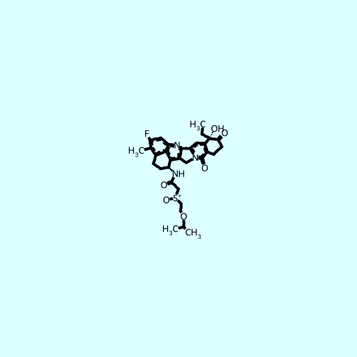 CC[C@@]1(O)C(=O)CCc2c1cc1n(c2=O)Cc2c-1nc1cc(F)c(C)c3c1c2[C@@H](NC(=O)C[S+]([O-])CCOC(C)C)CC3